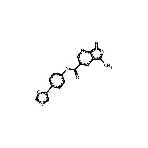 Cc1n[nH]c2ncc(C(=O)Nc3ccc(-c4cnco4)cc3)cc12